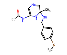 CCC(=O)NC1=CN=CC(C)(NCc2ccc(SC(F)(F)F)cc2)N1